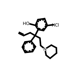 C=CCC(CCN1CCCCC1)(c1ccccc1)c1cc(C)ccc1O.Cl